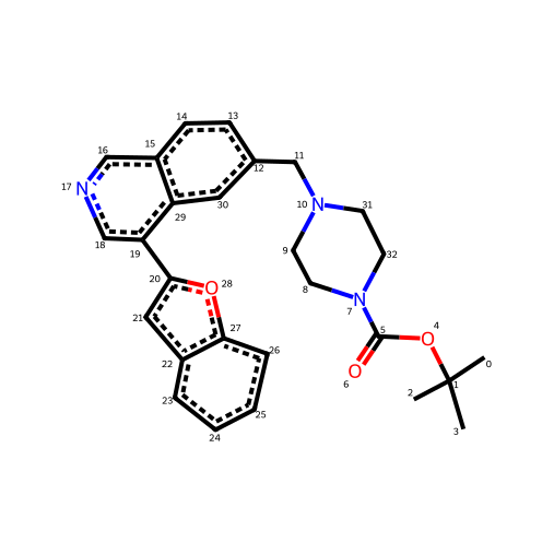 CC(C)(C)OC(=O)N1CCN(Cc2ccc3cncc(-c4cc5ccccc5o4)c3c2)CC1